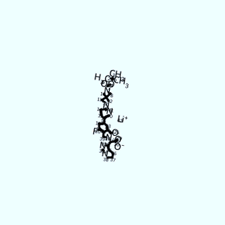 CC(C)(C)OC(=O)N1CC2(C1)CN(c1ccc(-c3cc(F)c4c(c3)C(=O)N(C(C(=O)[O-])c3ncn5c3CCC5)C4)cn1)C2.[Li+]